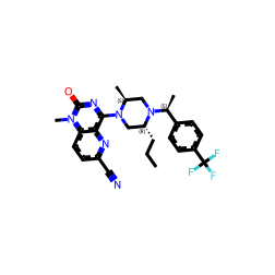 CCC[C@@H]1CN(c2nc(=O)n(C)c3ccc(C#N)nc23)[C@@H](C)CN1[C@@H](C)c1ccc(C(F)(F)F)cc1